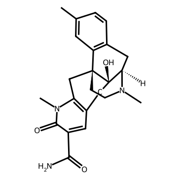 Cc1ccc2c(c1)[C@]13CCN(C)[C@H](C2)[C@]1(O)Cc1cc(C(N)=O)c(=O)n(C)c1C3